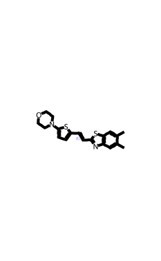 Cc1cc2nc(/C=C/c3ccc(N4CCOCC4)s3)sc2cc1C